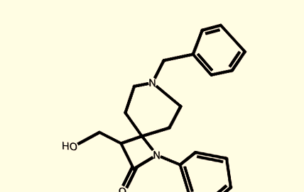 O=C1C(CO)C2(CCN(Cc3ccccc3)CC2)N1c1ccccc1